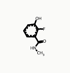 CNC(=O)c1cccc(O)c1F